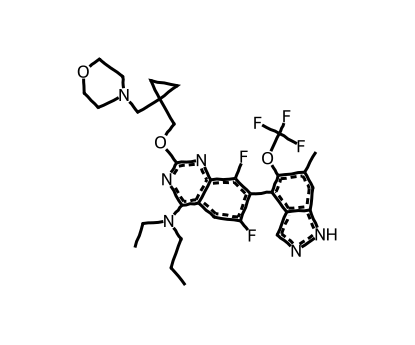 CCCN(CC)c1nc(OCC2(CN3CCOCC3)CC2)nc2c(F)c(-c3c(OC(F)(F)F)c(C)cc4[nH]ncc34)c(F)cc12